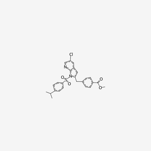 COC(=O)c1ccc(Cc2cc3cc(Cl)cnc3n2S(=O)(=O)c2ccc(C(C)C)cc2)cc1